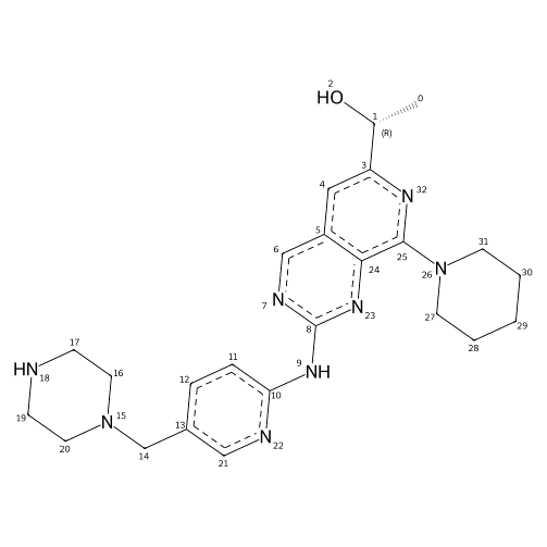 C[C@@H](O)c1cc2cnc(Nc3ccc(CN4CCNCC4)cn3)nc2c(N2CCCCC2)n1